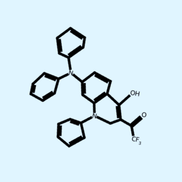 O=C(C1=C(O)c2ccc(N(c3ccccc3)c3ccccc3)cc2N(c2ccccc2)C1)C(F)(F)F